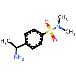 CC(N)c1ccc(S(=O)(=O)N(C)C)cc1